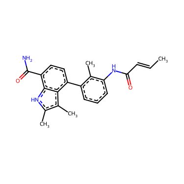 CC=CC(=O)Nc1cccc(-c2ccc(C(N)=O)c3[nH]c(C)c(C)c23)c1C